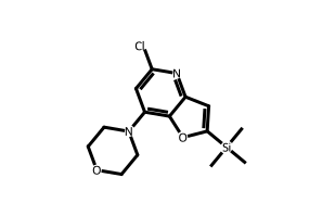 C[Si](C)(C)c1cc2nc(Cl)cc(N3CCOCC3)c2o1